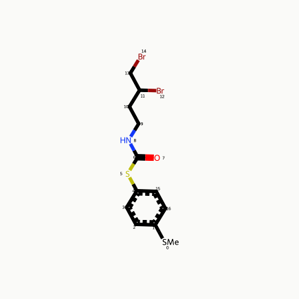 CSc1ccc(SC(=O)NCCC(Br)CBr)cc1